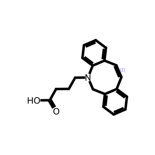 O=C(O)CCCN1Cc2ccccc2/C=C\c2ccccc21